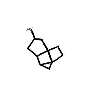 SC1CC2C3CC34CCC24C1